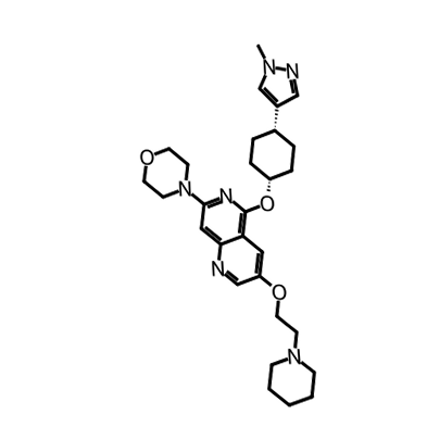 Cn1cc([C@H]2CC[C@@H](Oc3nc(N4CCOCC4)cc4ncc(OCCN5CCCCC5)cc34)CC2)cn1